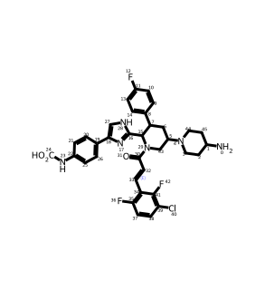 NC1CCN(C2CC(c3ccc(F)cc3)C(c3nc(-c4ccc(NC(=O)O)cc4)c[nH]3)N(C(=O)/C=C/c3c(F)ccc(Cl)c3F)C2)CC1